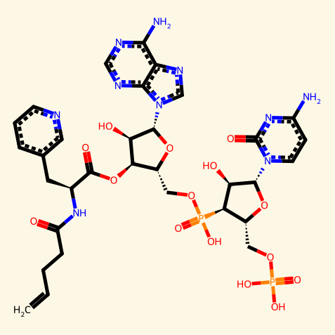 C=CCCC(=O)N[C@@H](Cc1cccnc1)C(=O)O[C@H]1[C@@H](O)[C@H](n2cnc3c(N)ncnc32)O[C@@H]1COP(=O)(O)[C@H]1[C@@H](O)[C@H](n2ccc(N)nc2=O)O[C@@H]1COP(=O)(O)O